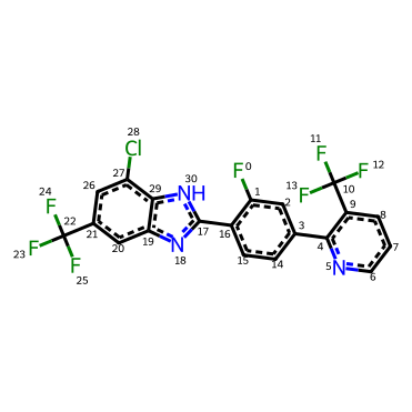 Fc1cc(-c2ncccc2C(F)(F)F)ccc1-c1nc2cc(C(F)(F)F)cc(Cl)c2[nH]1